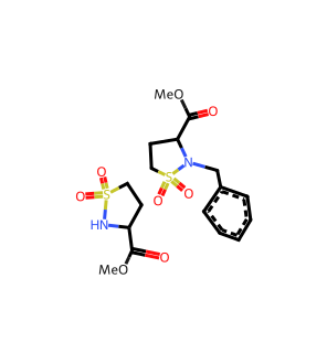 COC(=O)C1CCS(=O)(=O)N1.COC(=O)C1CCS(=O)(=O)N1Cc1ccccc1